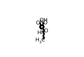 CCCCNC(=O)c1ccc2c(c1)C(=O)N(O)C2=O